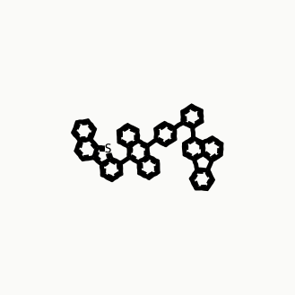 c1ccc(-c2ccc3c4c(cccc24)-c2ccccc2-3)c(-c2ccc(-c3c4ccccc4c(-c4cccc5c4sc4c6ccccc6ccc54)c4ccccc34)cc2)c1